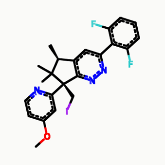 COc1ccnc([C@@]2(CI)c3nnc(-c4c(F)cccc4F)cc3[C@H](C)C2(C)C)c1